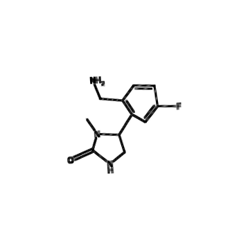 CN1C(=O)NCC1c1cc(F)ccc1CN